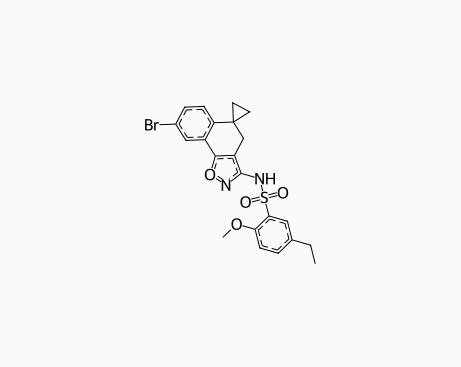 CCc1ccc(OC)c(S(=O)(=O)Nc2noc3c2CC2(CC2)c2ccc(Br)cc2-3)c1